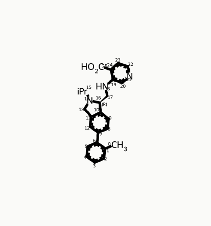 Cc1ccccc1-c1ccc2c(c1)CN(C(C)C)[C@H]2CNc1cnccc1C(=O)O